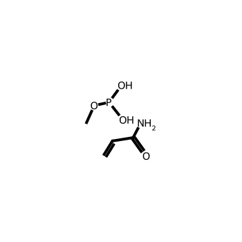 C=CC(N)=O.COP(O)O